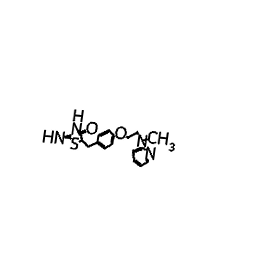 CN(CCOc1ccc(CC2SC(=N)NC2=O)cc1)c1ccccn1